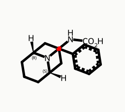 O=C(O)NC1C[C@H]2CCC[C@@H](C1)N2Cc1ccccc1